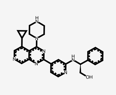 OC[C@@H](Nc1cc(-c2nc(N3CCNCC3)c3c(C4CC4)cncc3n2)ccn1)c1ccccc1